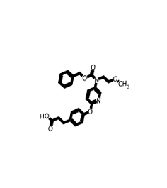 COCCN(C(=O)OCc1ccccc1)c1ccc(Oc2ccc(CCC(=O)O)cc2)nc1